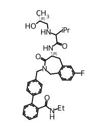 CCNC(=O)c1ccccc1-c1ccc(CN2Cc3ccc(F)cc3C[C@@H](NC(=O)C(NC[C@@H](C)O)C(C)C)C2=O)cc1